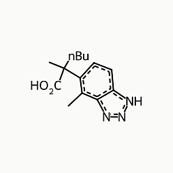 CCCCC(C)(C(=O)O)c1ccc2[nH]nnc2c1C